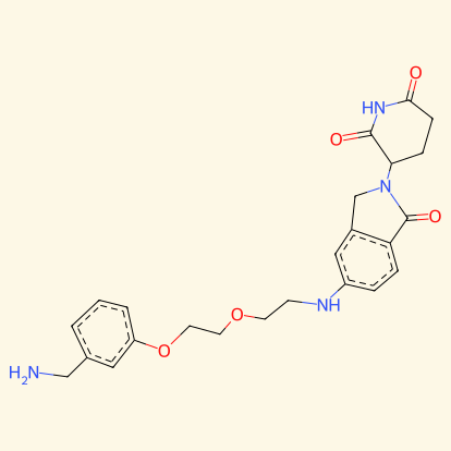 NCc1cccc(OCCOCCNc2ccc3c(c2)CN(C2CCC(=O)NC2=O)C3=O)c1